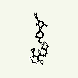 COc1ncnc(C2CC2)c1-c1ncc2cnn(Cc3ccc(-n4nc(C#N)cc4C)cc3)c2n1